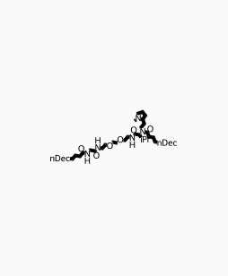 CCCCCCCCCCCCCC(=O)NCC(=O)NCCOCCOCCNC(=O)C(C(C)C)N(CCC1CCCN1C)C(=O)CCCCCCCCCCCCC